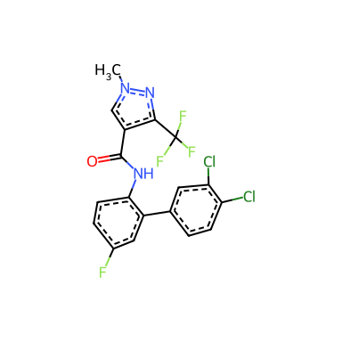 Cn1cc(C(=O)Nc2ccc(F)cc2-c2ccc(Cl)c(Cl)c2)c(C(F)(F)F)n1